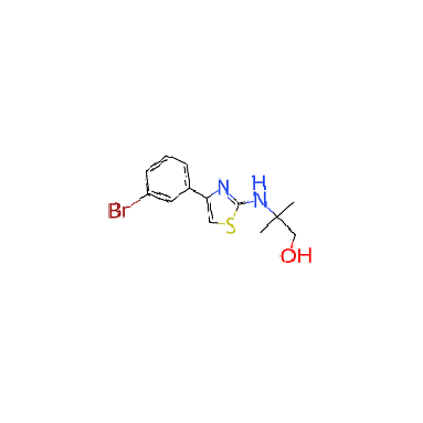 CC(C)(CO)Nc1nc(-c2cccc(Br)c2)cs1